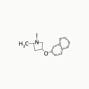 CC1CC(Oc2ccc3ccccc3c2)CN1I